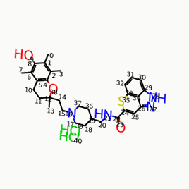 Cc1c(C)c2c(c(C)c1O)CCC(C)(CCN1CCC(CNC(=O)C3=Cc4n[nH]c5cccc(c45)S3)CC1)O2.Cl.Cl